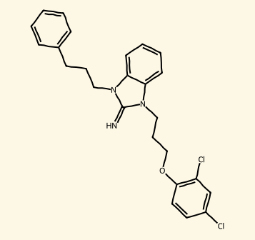 N=c1n(CCCOc2ccc(Cl)cc2Cl)c2ccccc2n1CCCc1ccccc1